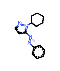 c1ccc(/N=N/c2ccnn2C2CCCCC2)cc1